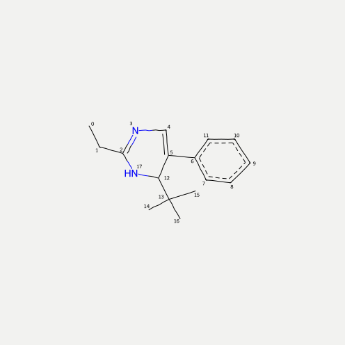 CCC1=NC=C(c2ccccc2)C(C(C)(C)C)N1